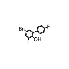 Oc1c(I)cc(Br)cc1-c1ccc(F)cc1